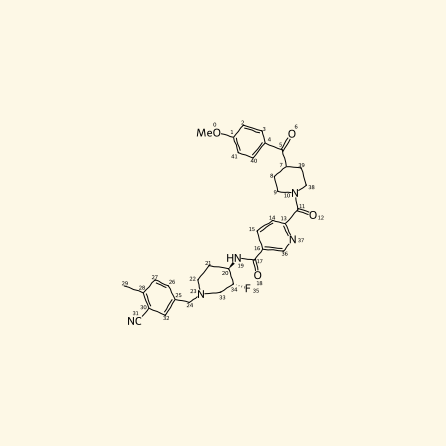 COc1ccc(C(=O)C2CCN(C(=O)c3ccc(C(=O)N[C@@H]4CCN(Cc5ccc(C)c(C#N)c5)C[C@H]4F)cn3)CC2)cc1